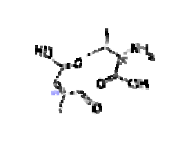 C/C(C=O)=C/C(=O)O.CC(C)[C@H](N)C(=O)O